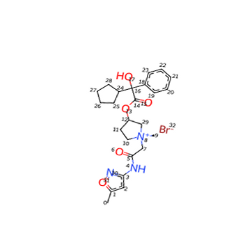 Cc1cc(NC(=O)C[N@+]2(C)CCC(OC(=O)C(O)(c3ccccc3)C3CCCC3)C2)no1.[Br-]